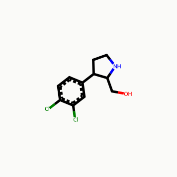 OCC1NCCC1c1ccc(Cl)c(Cl)c1